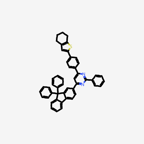 c1ccc(-c2nc(-c3ccc(-c4cc5c(s4)CCCC5)cc3)cc(-c3ccc4c(c3)C(c3ccccc3)(c3ccccc3)c3ccccc3-4)n2)cc1